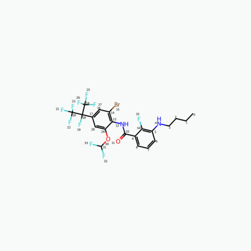 CCCCNc1cccc(C(=O)Nc2c(Br)cc(C(F)(C(F)(F)F)C(F)(F)F)cc2OC(F)F)c1F